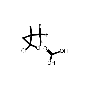 CC1(C(F)(F)F)CC1(Cl)Cl.O=C(O)O